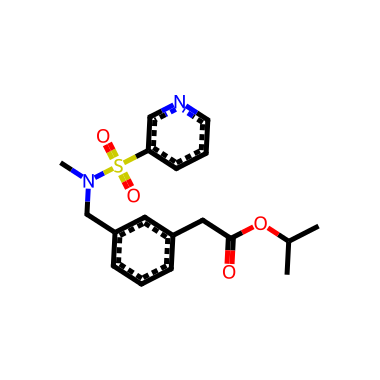 CC(C)OC(=O)Cc1cccc(CN(C)S(=O)(=O)c2cccnc2)c1